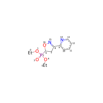 CCOP(=O)(OCC)C1CC(c2ccccn2)=NO1